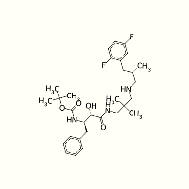 C[C@H](CNCC(C)(C)CNC(=O)[C@@H](O)[C@@H](Cc1ccccc1)NC(=O)OC(C)(C)C)Cc1cc(F)ccc1F